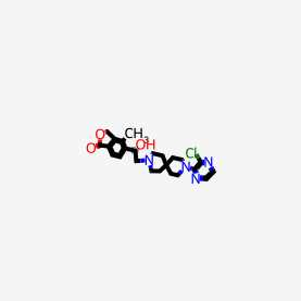 Cc1c([C@@H](O)CN2CCC3(CC2)CCN(c2nccnc2Cl)CC3)ccc2c1COC2=O